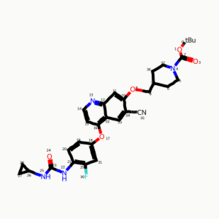 CC(C)(C)OC(=O)N1CCC(COc2cc3nccc(Oc4ccc(NC(=O)NC5CC5)c(F)c4)c3cc2C#N)CC1